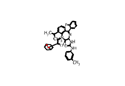 Cc1cccc(NC(=O)NC2N=C(c3ccccc3F)c3cccc(C(C)C)c3N(CC(=O)N3CC4CCC(CC4)C3)C2=O)c1